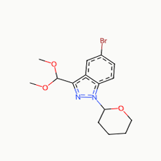 COC(OC)c1nn(C2CCCCO2)c2ccc(Br)cc12